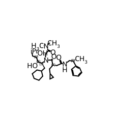 CC(C)C[C@H](O)[C@H](O)[C@H](CC1CCCCC1)N(CC(=O)N(C)C)C(=O)[C@@H](CC(=O)NC[C@H](C)c1ccccc1)CC1CC1